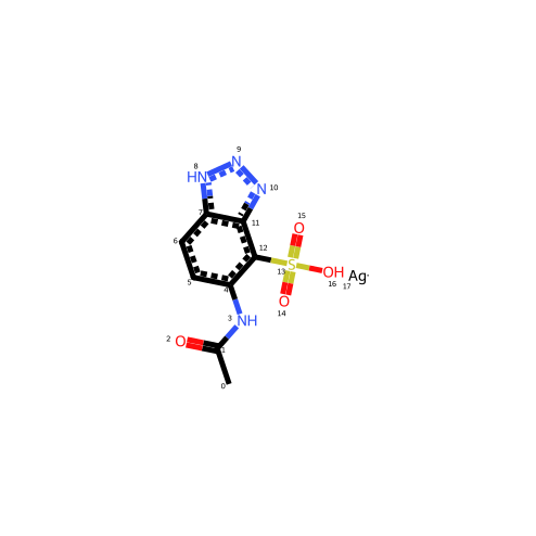 CC(=O)Nc1ccc2[nH]nnc2c1S(=O)(=O)O.[Ag]